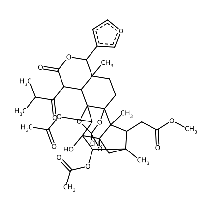 COC(=O)CC1C2(C)CC34OC5(C)OC6(C7C(C(=O)C(C)C)C(=O)OC(c8ccoc8)C7(C)CCC6(O5)C13C)C(OC(C)=O)C4(O)C2OC(C)=O